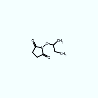 CCC(C)ON1C(=O)CCC1=O